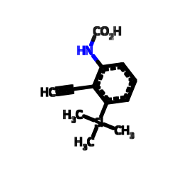 C#Cc1c(NC(=O)O)cccc1[Si](C)(C)C